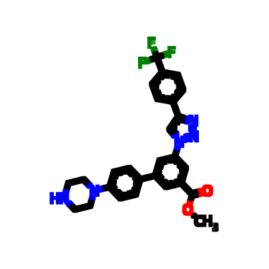 COC(=O)c1cc(-c2ccc(N3CCNCC3)cc2)cc(-n2cc(-c3ccc(C(F)(F)F)cc3)nn2)c1